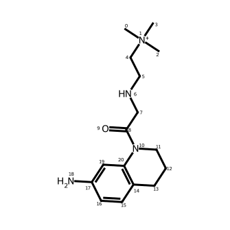 C[N+](C)(C)CCNCC(=O)N1CCCc2ccc(N)cc21